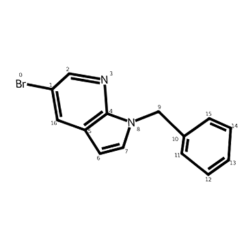 Brc1cnc2c(ccn2Cc2ccccc2)c1